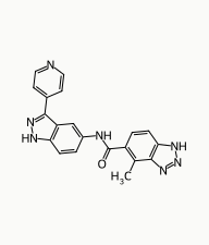 Cc1c(C(=O)Nc2ccc3[nH]nc(-c4ccncc4)c3c2)ccc2[nH]nnc12